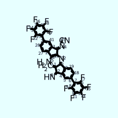 C=C1C(=N)c2cc(-c3c(F)c(F)c(F)c(F)c3F)ccc2/C1=N/C1=C(N)c2ccc(-c3c(F)c(F)c(F)c(F)c3F)cc2/C1=N\C#N